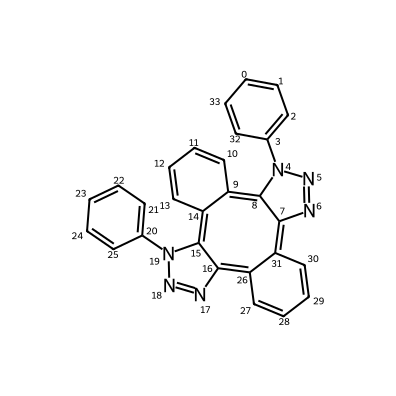 c1ccc(-n2nnc3/c2=c2/cccc/c2=c2/c(nnn2-c2ccccc2)=c2/cccc/c2=3)cc1